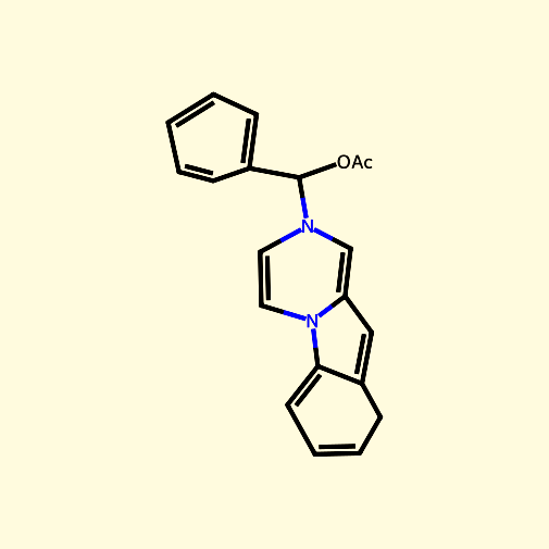 CC(=O)OC(c1ccccc1)N1C=Cn2c(cc3c2=CC=CC3)=C1